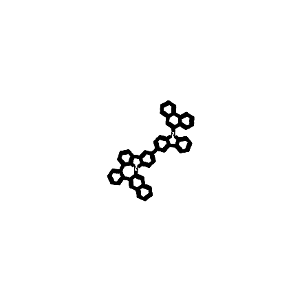 c1ccc2c(c1)-c1cc3ccccc3cc1-n1c3ccc(-c4ccc5c(c4)c4ccccc4n5-c4cc5ccccc5c5ccccc45)cc3c3cccc-2c31